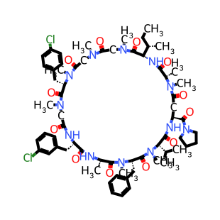 CC[C@H](C)[C@@H]1NC(=O)[C@H](C)N(C)C(=O)C[C@@H](C(=O)N2CCCC2)NC(=O)[C@H](C(C)C)N(C)C(=O)[C@H](Cc2ccccc2)N(C)C(=O)[C@H](C)NC(=O)[C@H](Cc2cccc(Cl)c2)NC(=O)CN(C)C(=O)[C@H](Cc2ccc(Cl)cc2)N(C)C(=O)CN(C)C(=O)CN(C)C1=O